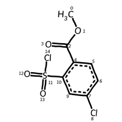 COC(=O)c1ccc(Cl)cc1S(=O)(=O)Cl